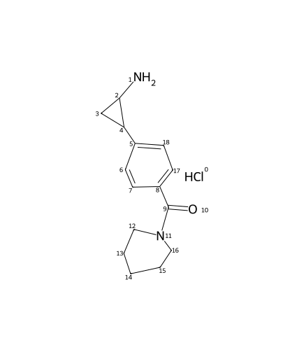 Cl.NC1CC1c1ccc(C(=O)N2CCCCC2)cc1